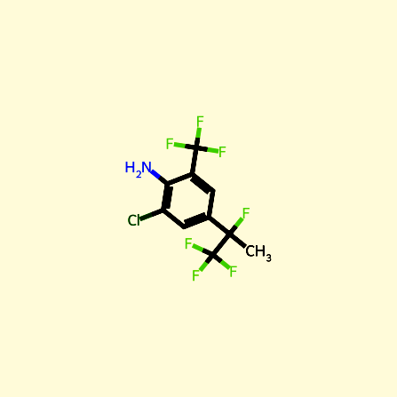 CC(F)(c1cc(Cl)c(N)c(C(F)(F)F)c1)C(F)(F)F